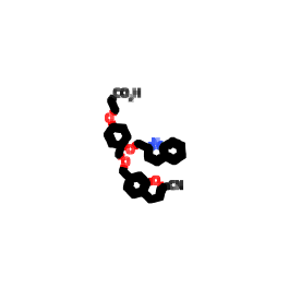 N#CC1=CCc2ccc(COCC3(OCc4ccc5ccccc5n4)C=CC(OCCC(=O)O)=CC3)cc2O1